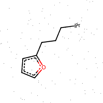 CC(C)CCCc1ccco1